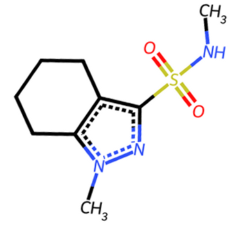 CNS(=O)(=O)c1nn(C)c2c1CCCC2